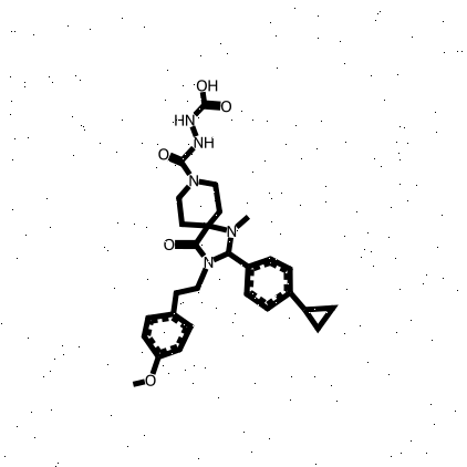 COc1ccc(CCN2C(=O)C3(CCN(C(=O)NNC(=O)O)CC3)N(C)C2c2ccc(C3CC3)cc2)cc1